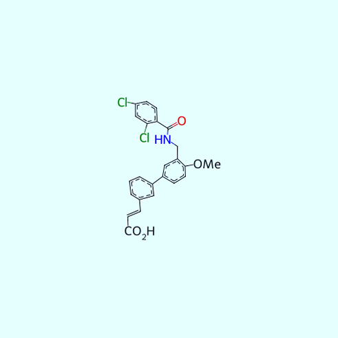 COc1ccc(-c2cccc(/C=C/C(=O)O)c2)cc1CNC(=O)c1ccc(Cl)cc1Cl